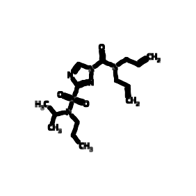 C=CCN(CC=C)C(=O)n1cnc(S(=O)(=O)N(CCC)C(C)C)n1